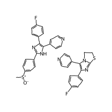 C[S+]([O-])c1ccc(-c2nc(-c3ccc(F)cc3)c(-c3ccncc3)[nH]2)cc1.Fc1ccc(-c2nc3n(c2-c2ccncc2)CCS3)cc1